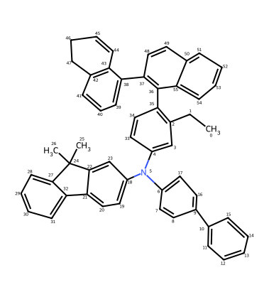 CCc1cc(N(c2ccc(-c3ccccc3)cc2)c2ccc3c(c2)C(C)(C)c2ccccc2-3)ccc1-c1c(-c2cccc3c2C=CCC3)ccc2ccccc12